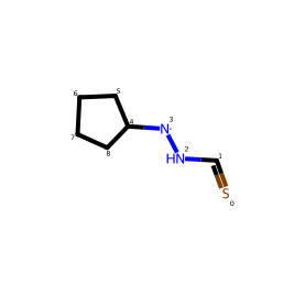 S=CN[N]C1CCCC1